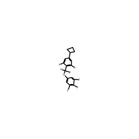 Fc1cc(OC(F)(F)c2c(F)cc(C3CCC3)cc2F)cc(F)c1F